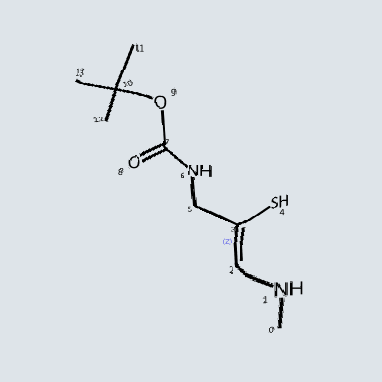 CN/C=C(\S)CNC(=O)OC(C)(C)C